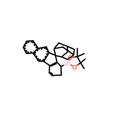 CC1(C)OB(C2CC=CC3=C2C2(c4cc5ccccc5cc43)C3CC4CC(C3)CC2C4)OC1(C)C